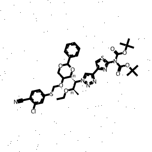 CCO[C@H](C)C([C@H]1OC(c2ccccc2)OCC1OCSc1ccc(C#N)c(Cl)c1)n1cc(-c2csc(N(C(=O)OC(C)(C)C)C(=O)OC(C)(C)C)n2)nn1